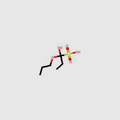 CCCOC(O)(CC)S(=O)(=O)O